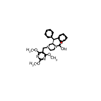 COc1nc(OC)c(CN2CCN(C(=O)O)[C@H](C(c3ccccc3)c3ccccc3)C2)c(OC)n1